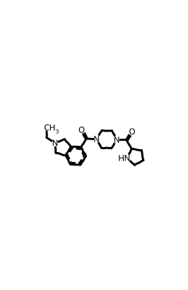 CCN1Cc2cccc(C(=O)N3CCN(C(=O)C4CCCN4)CC3)c2C1